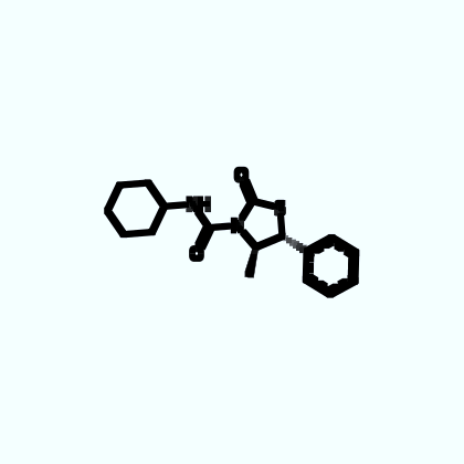 C[C@@H]1[C@@H](c2ccccc2)SC(=O)N1C(=O)NC1CCCCC1